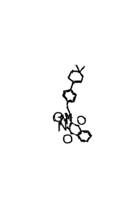 CC1(C)CC=C(c2ccc(CCn3c4c(n[n+]3[O-])C(=O)c3ccccc3C4=O)cc2)CC1